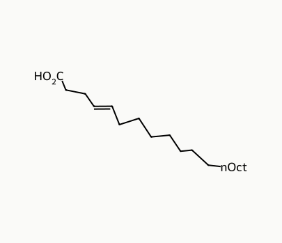 CCCCCCCCCCCCCCCC=CCCC(=O)O